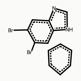 Brc1cc2nc[nH]c2cc1Br.c1ccccc1